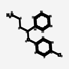 NCCC(Oc1ccc(Cl)cc1)c1ccccc1